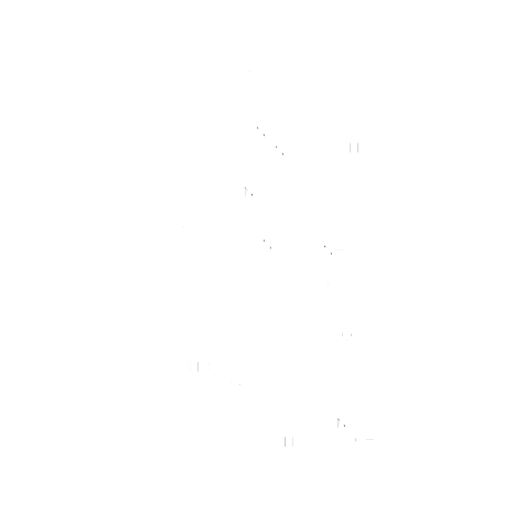 COc1ccc(OC(C)C(=O)Nc2cc(-n3nc(C)cc3C)nc(-c3ccc(C)o3)n2)c(CN(C)C)c1